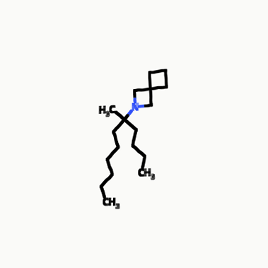 CCCCCCC(C)(CCCC)N1CC2(CCC2)C1